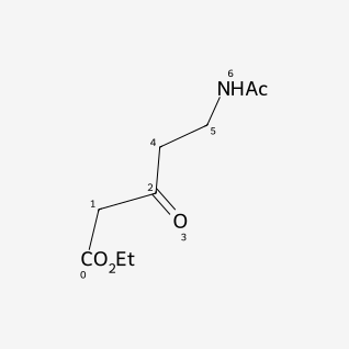 CCOC(=O)CC(=O)CCNC(C)=O